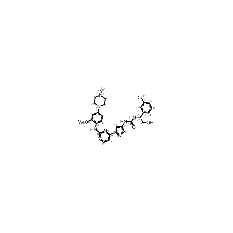 COc1cc(N2CCN(C(C)=O)CC2)ccc1Nc1nccc(-n2cc(NC(=O)N[C@H](CO)c3cccc(Cl)c3)cn2)n1